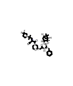 CC1(C)[C@@H]2C[C@H]3OB([C@H](Cc4ccccc4)NC(=O)C[C@@H]4CN(C(=O)/C(C#N)=C/C(C)(C)N5CCC(F)(F)C5)CCO4)O[C@@]3(C)[C@H]1C2